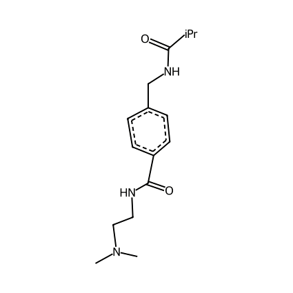 CC(C)C(=O)NCc1ccc(C(=O)NCCN(C)C)cc1